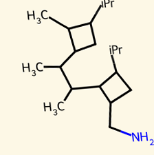 CC(C)C1CC(C(C)C(C)C2C(CN)CC2C(C)C)C1C